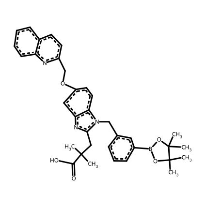 CC(C)(Cc1nc2cc(OCc3ccc4ccccc4n3)ccc2n1Cc1cccc(B2OC(C)(C)C(C)(C)O2)c1)C(=O)O